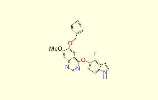 COc1cc2ncnc(Oc3ccc4[nH]ccc4c3F)c2cc1OCc1ccccc1